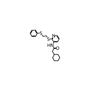 O=C(CC1CCCCC1)Nc1cccnc1SCCSc1ccccc1